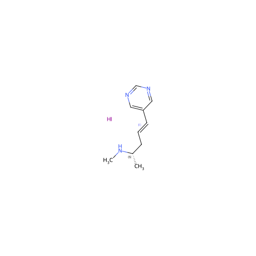 CN[C@@H](C)C/C=C/c1cncnc1.I